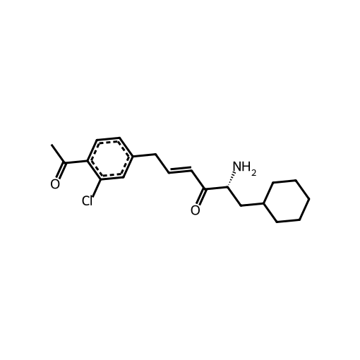 CC(=O)c1ccc(C/C=C/C(=O)[C@H](N)CC2CCCCC2)cc1Cl